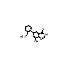 CCCCOc1ccccc1-c1cc(O)c2nc[nH]c(=O)c2c1